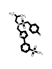 CC(C)CN(Cc1ccc(-c2cccc(S(C)(=O)=O)c2)s1)S(=O)(=O)Cc1ccc(F)cc1